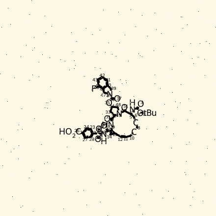 CC(C)(C)OC(=O)NC1CCCCCC=CC2CC2(C(=O)NS(=O)(=O)c2ccc(C(=O)O)cc2)NC(=O)C2CC(OC(=O)N3Cc4cccc(F)c4C3)CN2C1=O